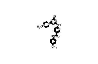 CCc1nc(Nc2ccc(C(=O)Nc3ccc(C)cc3)cn2)nc(N2CCN(C)CC2)n1